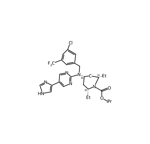 CC[C@@H]1C[C@H](N(Cc2cc(Cl)cc(C(F)(F)F)c2)c2ncc(-c3c[nH]cn3)cn2)C[C@H](CC)N1C(=O)OC(C)C